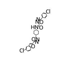 O=C(N[C@H]1CC[C@H](c2nnc(-c3cc4cc(Cl)ccc4o3)o2)CC1)c1nnc(-c2ccc(Cl)cc2)o1